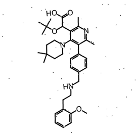 COc1ccccc1CCNCc1ccc(-c2c(C)nc(C)c(C(OC(C)(C)C)C(=O)O)c2N2CCC(C)(C)CC2)cc1